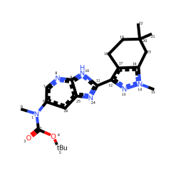 CN(C(=O)OC(C)(C)C)c1cnc2[nH]c(-c3nn(C)c4c3CCC(C)(C)C4)nc2c1